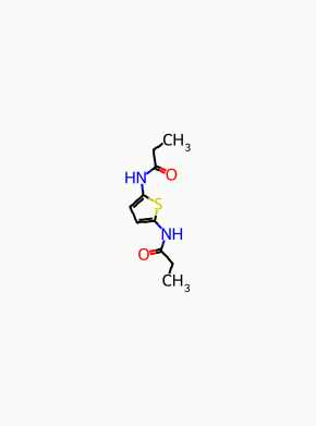 CCC(=O)Nc1ccc(NC(=O)CC)s1